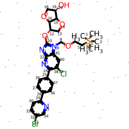 C[SH](C)(C)(C)CCOCn1c(O[C@@H]2COC3C2OC[C@H]3O)nc2nc(-c3ccc(-c4ccc(Br)cn4)cc3)c(Cl)cc21